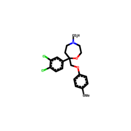 COc1ccc(OCC2(c3ccc(Cl)c(Cl)c3)CCN(C(=O)O)CCO2)cc1